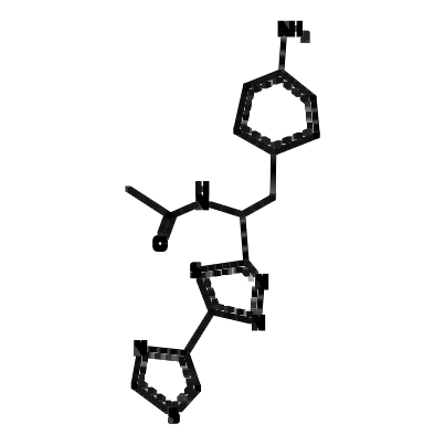 CC(=O)NC(Cc1ccc(N)cc1)c1nnc(-c2cscn2)s1